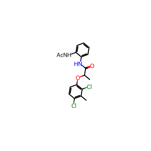 CC(=O)Nc1ccccc1NC(=O)C(C)Oc1ccc(Cl)c(C)c1Cl